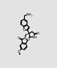 COc1ccc2c(c1)C(=O)N(C[C@@]1(c3cc4cc(CN)ccc4o3)CC(=O)NC1=O)C2